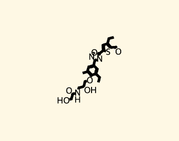 CCc1cc(-c2nc(-c3cc(C)c(OCC(O)CNC(=O)CO)c(CC)c3)no2)sc1C=O